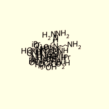 CC[C@H](C)[C@H](NC(=O)[C@H](CC(C)C)NC(=O)[C@H](CO)NC(=O)[C@H](CC(C)C)NC(=O)[C@H](CC(C)C)NC(=O)[C@@H](N)CO)C(=O)N[C@@H](CCCN=C(N)N)C(=O)N[C@@H](CCCCN)C(=O)N[C@@H](CC(C)C)C(=O)N[C@H](C(=O)N[C@H](C(=O)O)[C@@H](C)O)[C@@H](C)CC